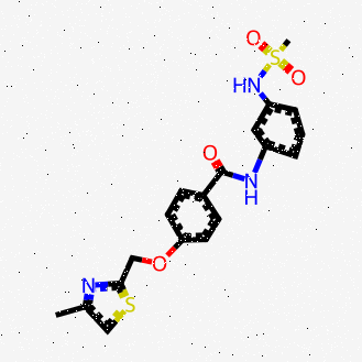 Cc1csc(COc2ccc(C(=O)Nc3cccc(NS(C)(=O)=O)c3)cc2)n1